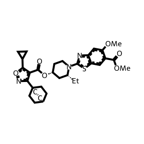 CC[C@@H]1C[C@H](OC(=O)c2c(C34CCC(CC3)CC4)noc2C2CC2)CCN1c1nc2cc(OC)c(C(=O)OC)cc2s1